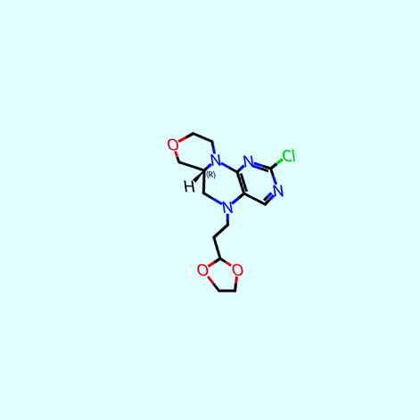 Clc1ncc2c(n1)N1CCOC[C@H]1CN2CCC1OCCO1